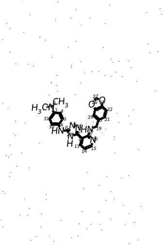 CN(C)c1ccc(Nc2nnc(-c3cccnc3NCc3ccc4c(c3)OCO4)[nH]2)cc1